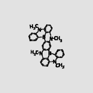 CN1c2ccccc2B2c3cc4c(cc3N(C)c3cccc1c32)B1c2ccccc2N(C)c2cccc(c21)N4C